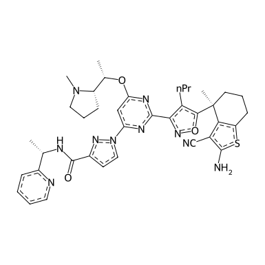 CCCc1c(-c2nc(O[C@@H](C)[C@@H]3CCCN3C)cc(-n3ccc(C(=O)N[C@@H](C)c4ccccn4)n3)n2)noc1[C@@]1(C)CCCc2sc(N)c(C#N)c21